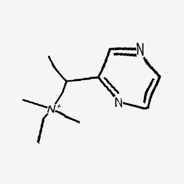 CC(c1cnccn1)[N+](C)(C)C